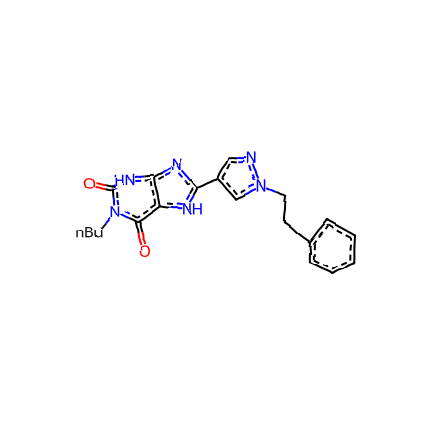 CCCCn1c(=O)[nH]c2nc(-c3cnn(CCc4ccccc4)c3)[nH]c2c1=O